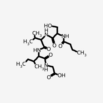 CCCC(=O)NC(CO)C(=O)NC(C(=O)NC(C(=O)NCC(=O)O)C(C)CC)C(C)C